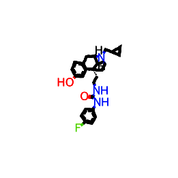 C[C@H]1[C@H]2Cc3ccc(O)cc3[C@]1(CCNC(=O)Nc1ccc(F)cc1)CCN2CC1CC1